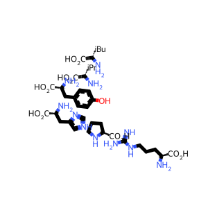 CC(C)[C@H](N)C(=O)O.CCC(C)[C@H](N)C(=O)O.N=C(N)NCCC[C@H](N)C(=O)O.N[C@@H](Cc1c[nH]cn1)C(=O)O.N[C@@H](Cc1ccc(O)cc1)C(=O)O.O=C(O)[C@@H]1CCCN1